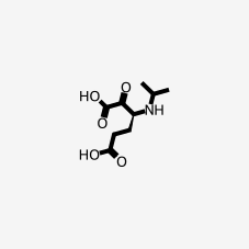 CC(C)N[C@@H](CCC(=O)O)C(=O)C(=O)O